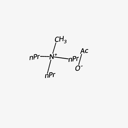 CC(=O)[O-].CCC[N+](C)(CCC)CCC